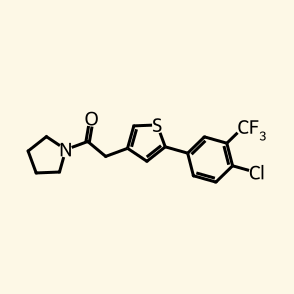 O=C(Cc1csc(-c2ccc(Cl)c(C(F)(F)F)c2)c1)N1CCCC1